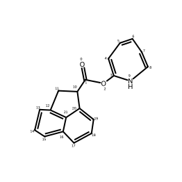 O=C(OC1=CC=CC=CN1)C1Cc2cccc3cccc1c23